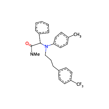 CNC(=O)C(c1ccccc1)N(CCCc1ccc(C(F)(F)F)cc1)c1ccc(C)cc1